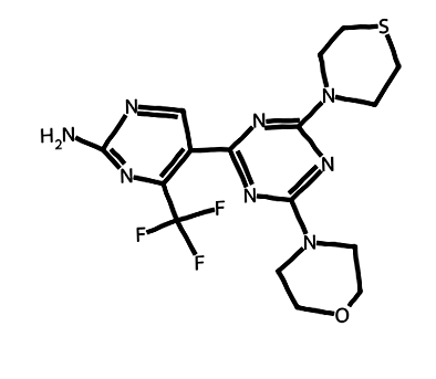 Nc1ncc(-c2nc(N3CCOCC3)nc(N3CCSCC3)n2)c(C(F)(F)F)n1